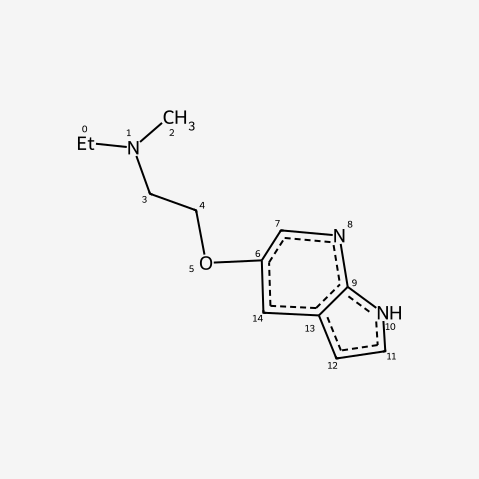 CCN(C)CCOc1cnc2[nH]ccc2c1